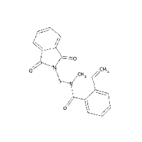 C=Cc1ccccc1C(=O)N(C)SN1C(=O)c2ccccc2C1=O